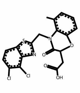 Cc1cccc2c1N(Cc1nc3c(Cl)c(Cl)ccc3s1)C(=O)C(CC(=O)O)O2